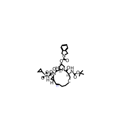 CC(C)(C)OC(=O)N[C@H]1CCCCC/C=C/[C@@H]2C[C@@]2(C(=O)NS(=O)(=O)C2CC2)NC(=O)[C@@H]2C[C@@H](OC(=O)N3Cc4ccccc4C3)CN2C1=O